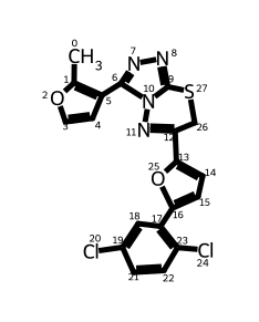 Cc1occc1-c1nnc2n1N=C(c1ccc(-c3cc(Cl)ccc3Cl)o1)CS2